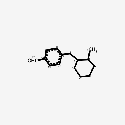 CC1CCCCC1Cc1ccc(C=O)cc1